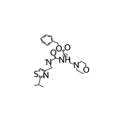 CC(C)c1nc(CN(C)C(=O)N[C@@H](CCN2CCOCC2)C(=O)OCc2ccccc2)cs1